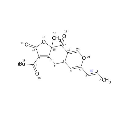 C/C=C/C1=CC2CC3=C(C(=O)C(C)CC)C(=O)OC3(C)C(=O)C2=CO1